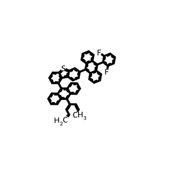 C=C/C=C(\C=C/C)c1c2ccccc2c(-c2cccc3sc4cc(-c5c6ccccc6c(-c6c(F)cccc6F)c6ccccc56)ccc4c23)c2ccccc12